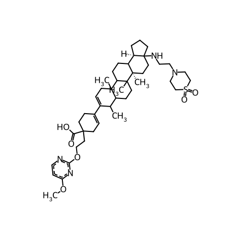 COc1ccnc(OCCC2(C(=O)O)CC=C(C3=CCC4(C)C(CCC5(C)C4CCC4[C@H]6CCCC6(NCCN6CCS(=O)(=O)CC6)CC[C@]45C)C3C)CC2)n1